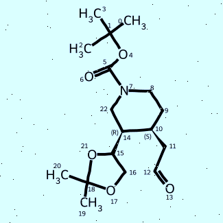 CC(C)(C)OC(=O)N1CC[C@@H](CC=O)[C@@H](C2COC(C)(C)O2)C1